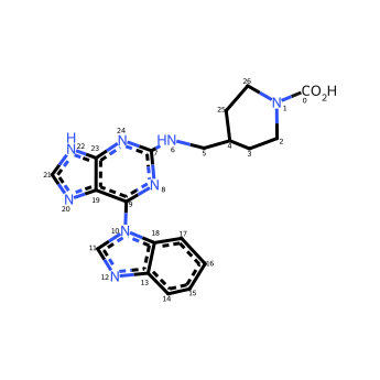 O=C(O)N1CCC(CNc2nc(-n3cnc4ccccc43)c3nc[nH]c3n2)CC1